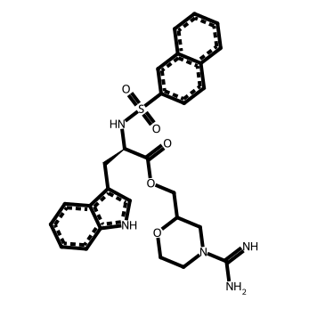 N=C(N)N1CCOC(COC(=O)[C@@H](Cc2c[nH]c3ccccc23)NS(=O)(=O)c2ccc3ccccc3c2)C1